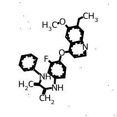 C=C(Nc1ccccc1)C(=C)Nc1ccc(Oc2ccnc3cc(CC)c(OC)cc23)c(F)c1